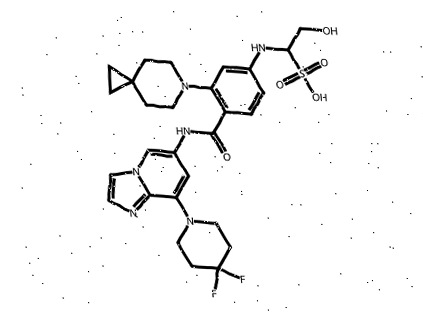 O=C(Nc1cc(N2CCC(F)(F)CC2)c2nccn2c1)c1ccc(NC(CO)S(=O)(=O)O)cc1N1CCC2(CC1)CC2